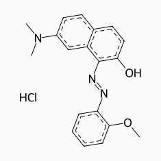 COc1ccccc1N=Nc1c(O)ccc2ccc(N(C)C)cc12.Cl